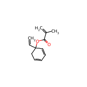 C=CC1(OC(=O)C(=C)C)C=CC=CC1